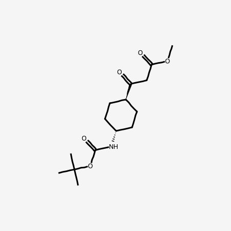 COC(=O)CC(=O)[C@H]1CC[C@H](NC(=O)OC(C)(C)C)CC1